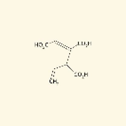 C=CC(C(=O)O)/C(=C\C(=O)O)C(=O)O